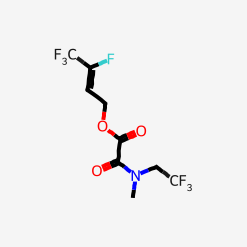 CN(CC(F)(F)F)C(=O)C(=O)OC/C=C(\F)C(F)(F)F